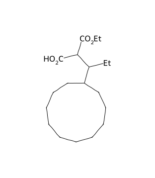 CCOC(=O)C(C(=O)O)C(CC)C1CCCCCCCCCC1